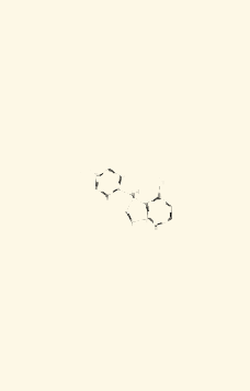 Cc1ccc(C2(C)C=Cc3cccc(Br)c32)cc1